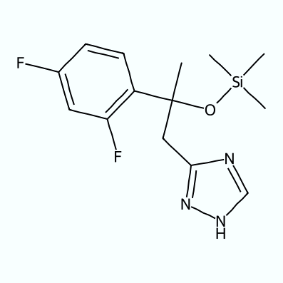 CC(Cc1nc[nH]n1)(O[Si](C)(C)C)c1ccc(F)cc1F